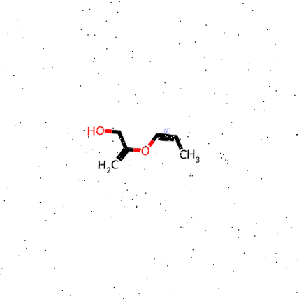 C=C(CO)O/C=C\C